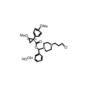 COc1ccc([C@]2(C(=O)OC(c3ccccc3)N3CCN(CCCCl)CC3)C[C@H]2OC)cc1.Cl.Cl